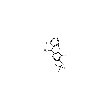 NC(c1ccc(OC(F)(F)F)c(F)c1)c1c(F)cccc1F